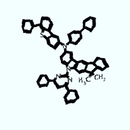 CC1(C)c2ccccc2-c2cc3c4cc(N(c5ccc(-c6ccccc6)cc5)c5ccc6sc7c(-c8ccccc8)cccc7c6c5)ccc4n(-c4nc(-c5ccccc5)cc(-c5ccccc5)n4)c3cc21